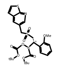 COc1ccccc1[C@@H](CS(=O)(=O)Cc1cnc2sccc2c1)N(OC(=O)OC(C)(C)C)C(=O)OC(C)(C)C